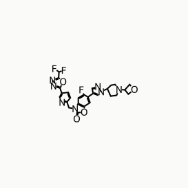 O=c1oc2cc(-c3cnn(C4CCN(C5COC5)CC4)c3)c(F)cc2n1Cc1ccc(-c2nnc(C(F)F)o2)cn1